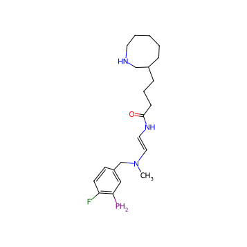 CN(/C=C/NC(=O)CCCC1CCCCCNC1)Cc1ccc(F)c(P)c1